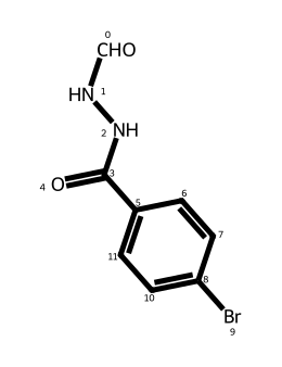 O=CNNC(=O)c1ccc(Br)cc1